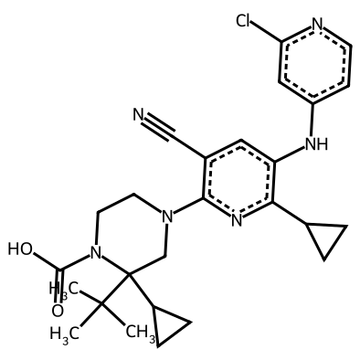 CC(C)(C)C1(C2CC2)CN(c2nc(C3CC3)c(Nc3ccnc(Cl)c3)cc2C#N)CCN1C(=O)O